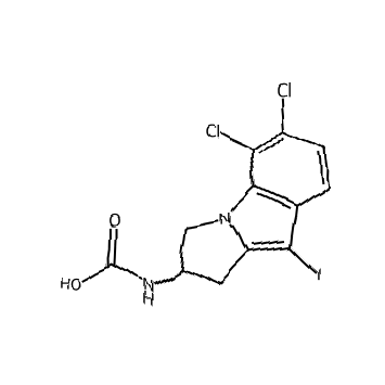 O=C(O)NC1Cc2c(I)c3ccc(Cl)c(Cl)c3n2C1